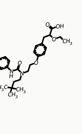 CCOC(Cc1ccc(OCCN(CCC(C)(C)C)C(=O)Nc2ccccc2)cc1)C(=O)O